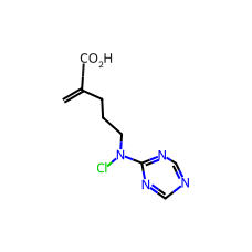 C=C(CCCN(Cl)c1ncncn1)C(=O)O